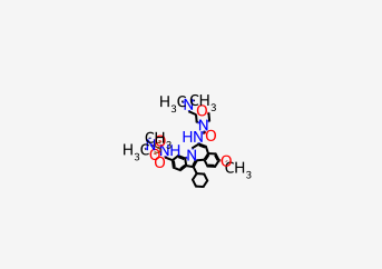 COc1ccc2c(c1)C=C(NC(=O)N1CCOC(CN(C)C)C1)Cn1c-2c(C2CCCCC2)c2ccc(C(=O)NS(=O)(=O)N(C)C)cc21